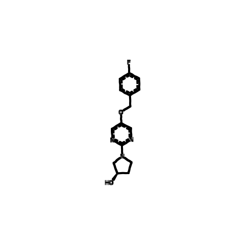 O[C@@H]1CCN(c2ncc(OCc3ccc(F)cc3)cn2)C1